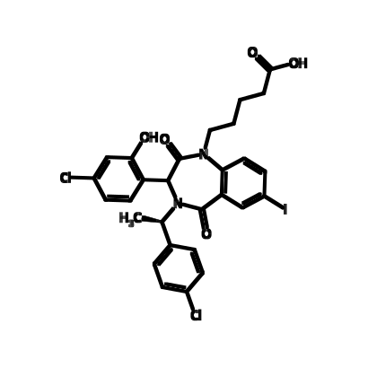 C[C@H](c1ccc(Cl)cc1)N1C(=O)c2cc(I)ccc2N(CCCCC(=O)O)C(=O)C1c1ccc(Cl)cc1O